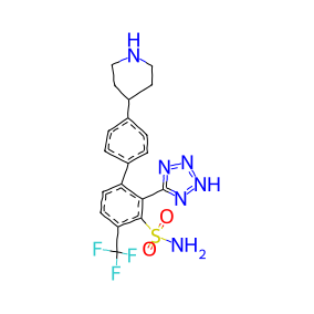 NS(=O)(=O)c1c(C(F)(F)F)ccc(-c2ccc(C3CCNCC3)cc2)c1-c1nn[nH]n1